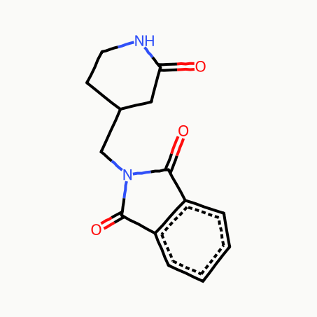 O=C1CC(CN2C(=O)c3ccccc3C2=O)CCN1